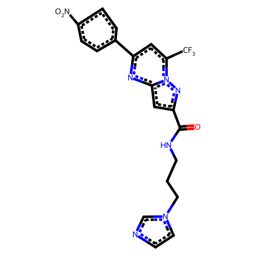 O=C(NCCCn1ccnc1)c1cc2nc(-c3ccc([N+](=O)[O-])cc3)cc(C(F)(F)F)n2n1